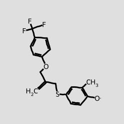 C=C(COc1ccc(C(F)(F)F)cc1)CSc1ccc([O])c(C)c1